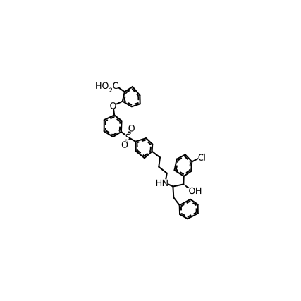 O=C(O)c1ccccc1Oc1cccc(S(=O)(=O)c2ccc(CCCNC(Cc3ccccc3)[C@H](O)c3cccc(Cl)c3)cc2)c1